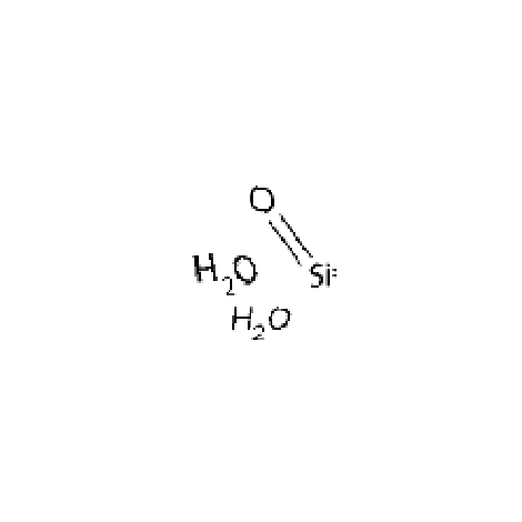 O.O.O=[Si]